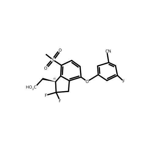 CS(=O)(=O)c1ccc(Oc2cc(F)cc(C#N)c2)c2c1[C@H](CC(=O)O)C(F)(F)C2